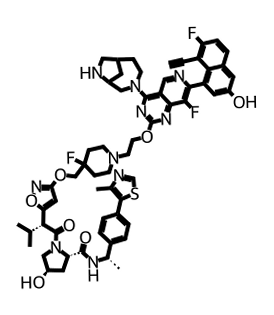 C#Cc1c(F)ccc2cc(O)cc(-c3ncc4c(N5CCC6CNC(C6)C5)nc(OCCN5CCC(F)(COc6cc([C@H](C(=O)N7C[C@H](O)C[C@H]7C(=O)N[C@@H](C)c7ccc(-c8scnc8C)cc7)C(C)C)on6)CC5)nc4c3F)c12